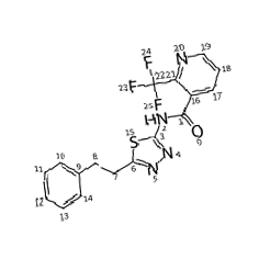 O=C(Nc1nnc(CCc2ccccc2)s1)c1cccnc1C(F)(F)F